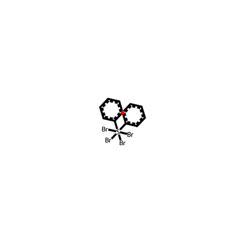 BrS(Br)(Br)(Br)(c1ccccc1)c1ccccc1